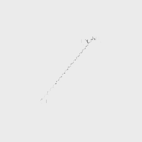 CCCCCCCCCCCCCCCCCCCCCCCCCCCCCCCCCC(N)CCN